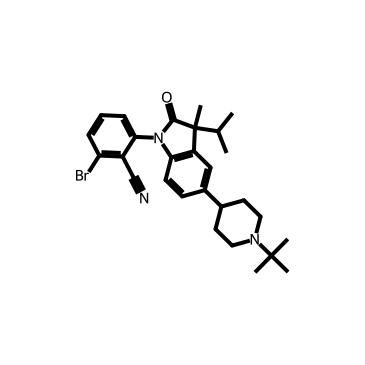 CC(C)C1(C)C(=O)N(c2cccc(Br)c2C#N)c2ccc(C3CCN(C(C)(C)C)CC3)cc21